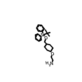 CC(C)(C)[Si](OCC1CCC(OCCN)CC1)(c1ccccc1)c1ccccc1